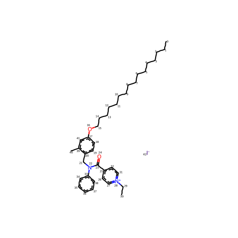 CCCCCCCCCCCCCCCCOc1ccc(CN(C(=O)c2cc[n+](CC)cc2)c2ccccc2)c(C)c1.[I-]